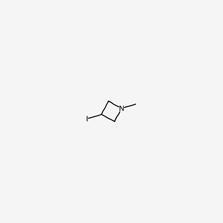 CN1CC(I)C1